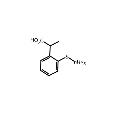 CCCCCCSc1ccccc1C(C)C(=O)O